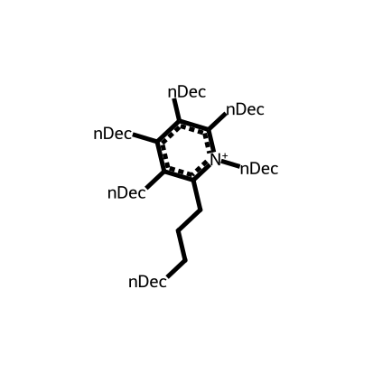 CCCCCCCCCCCCCc1c(CCCCCCCCCC)c(CCCCCCCCCC)c(CCCCCCCCCC)c(CCCCCCCCCC)[n+]1CCCCCCCCCC